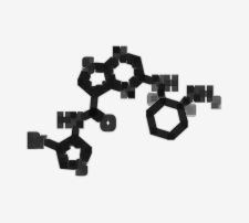 N[C@H]1CCCC[C@H]1Nc1cnc2scc(C(=O)Nc3cscc3Br)c2n1